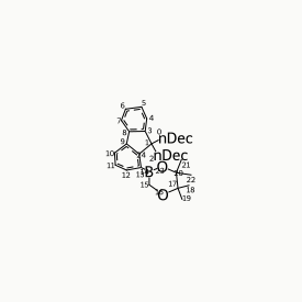 CCCCCCCCCCC1(CCCCCCCCCC)c2ccccc2-c2cccc(B3COC(C)(C)C(C)(C)O3)c21